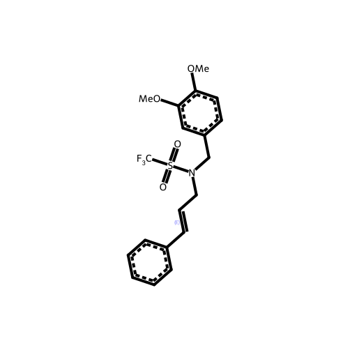 COc1ccc(CN(C/C=C/c2ccccc2)S(=O)(=O)C(F)(F)F)cc1OC